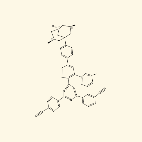 Cc1cccc(-c2cc(-c3ccc(C45C[C@H](C)C[C@H](C[C@H](C)C4)C5)cc3)ccc2-c2nc(-c3ccc(C#N)cc3)nc(-c3cccc(C#N)c3)n2)c1